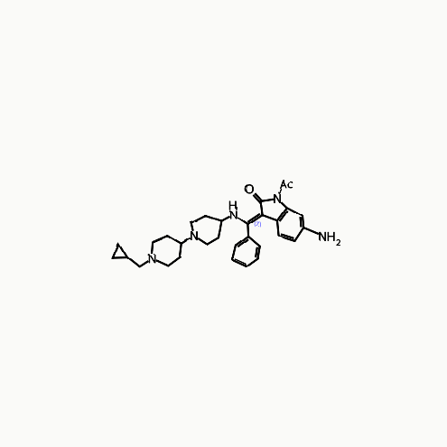 CC(=O)N1C(=O)/C(=C(\NC2CCN(C3CCN(CC4CC4)CC3)CC2)c2ccccc2)c2ccc(N)cc21